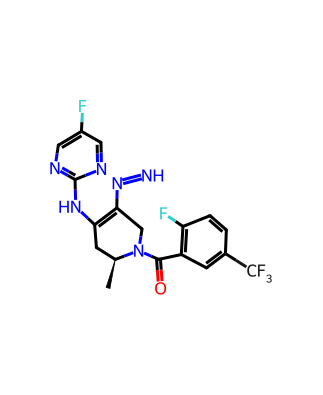 C[C@H]1CC(Nc2ncc(F)cn2)=C(N=N)CN1C(=O)c1cc(C(F)(F)F)ccc1F